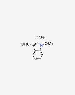 COc1c(C=O)c2ccccc2n1OC